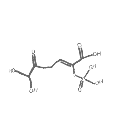 O=C(O)C(=CCC(=O)C(O)O)OP(=O)(O)O